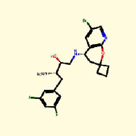 CC(=O)N[C@@H](Cc1cc(F)cc(F)c1)[C@@H](O)CN[C@H]1CC2(CCC2)Oc2ncc(Br)cc21